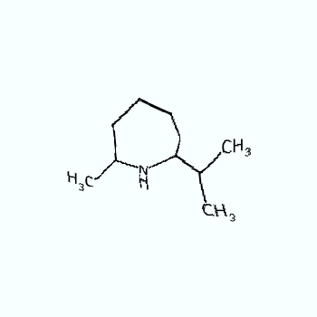 CC1CCCC(C(C)C)N1